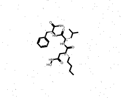 CCCCC[C@H](CC(=O)NO)C(=O)N[C@@H](CC(C)C)C(=O)N[C@@H](Cc1ccccc1)C(N)=O